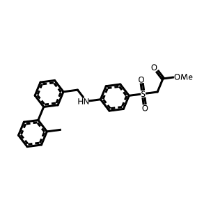 COC(=O)CS(=O)(=O)c1ccc(NCc2cccc(-c3ccccc3C)c2)cc1